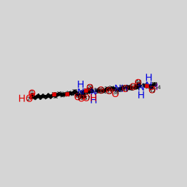 O=C(O)CCCCCCCCCCCCCCCCC(=O)NC(CCC(=O)NCCOCCOCC(=O)NCCOCCOCC(=O)NCCNC(=O)CI)C(=O)O